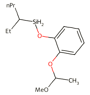 CCCC(CC)[SiH2]Oc1ccccc1OC(C)OC